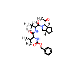 CC(=O)[C@@H]1[C@H]2CCC[C@H]2CN1C(=O)[C@@H](NC(=O)[C@@H](NC(=O)OCc1ccccc1)C(C)C)C(C)(C)C